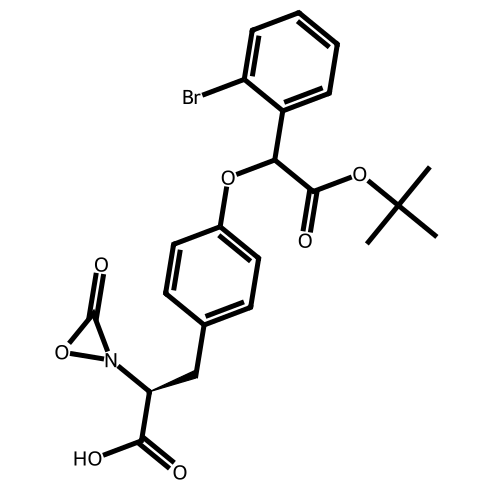 CC(C)(C)OC(=O)C(Oc1ccc(C[C@@H](C(=O)O)N2OC2=O)cc1)c1ccccc1Br